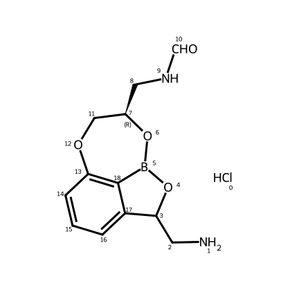 Cl.NCC1OB2O[C@H](CNC=O)COc3cccc1c32